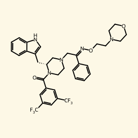 O=C(c1cc(C(F)(F)F)cc(C(F)(F)F)c1)N1CCN(C/C(=N/OCCN2CCOCC2)c2ccccc2)C[C@H]1Cc1c[nH]c2ccccc12